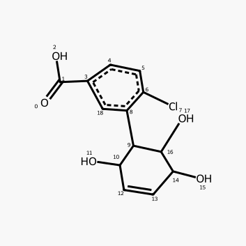 O=C(O)c1ccc(Cl)c(C2C(O)C=CC(O)C2O)c1